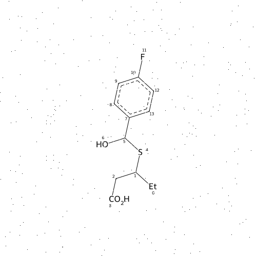 CCC(CC(=O)O)SC(O)c1ccc(F)cc1